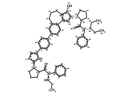 CCN[C@@H](C(=O)N1CCC[C@H]1c1ncc(-c2ccc(-c3ccc4c(c3)CCCc3c-4nc([C@@H]4CCCN4C(=O)[C@@H](c4ccccc4)N(CC)CC)n3O)cc2)[nH]1)c1ccccc1